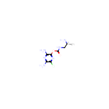 CC(C)[C@H](N)CNC(=O)Oc1nc(Cl)c(N)nc1N